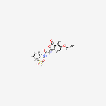 C#CCOc1ccc2c(c1C)C(=O)O/C2=C\C(=O)Nc1ccccc1S(C)(=O)=O